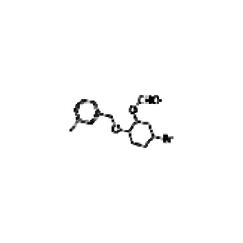 Cc1cccc(COC2CCC(Br)CC2O[C]=O)c1